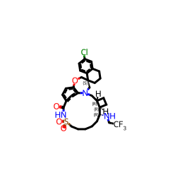 O=C1NS(=O)(=O)CCCCC[C@@H](NCC(F)(F)F)[C@@H]2CC[C@H]2CN2C[C@@]3(CCCc4cc(Cl)ccc43)COc3ccc1cc32